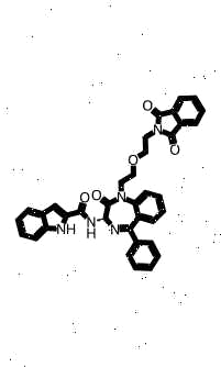 O=C(N[C@H]1N=C(c2ccccc2)c2ccccc2N(CCOCCN2C(=O)c3ccccc3C2=O)C1=O)c1cc2ccccc2[nH]1